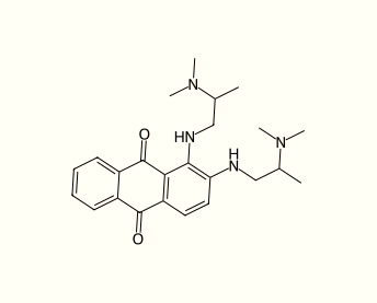 CC(CNc1ccc2c(c1NCC(C)N(C)C)C(=O)c1ccccc1C2=O)N(C)C